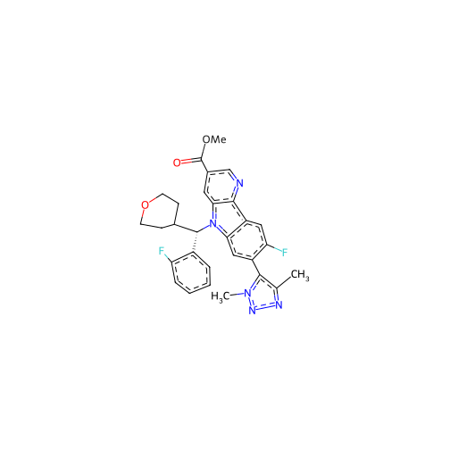 COC(=O)c1cnc2c3cc(F)c(-c4c(C)nnn4C)cc3n([C@H](c3ccccc3F)C3CCOCC3)c2c1